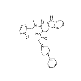 CN(Cc1ccccc1Cl)C(=O)C(Cc1c[nH]c2ccccc12)NC(=O)CN1CCN(c2ccccc2)CC1